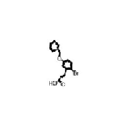 O=C(O)/C=C/c1cc(OCc2ccccc2)ccc1Br